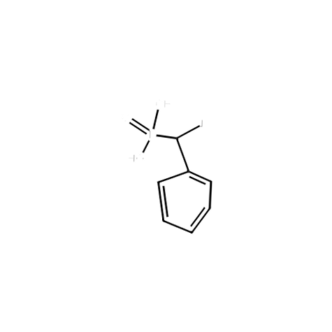 O=P(O)(O)C(F)c1ccccc1